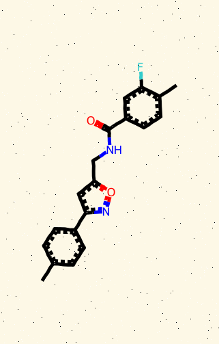 Cc1ccc(-c2cc(CNC(=O)c3ccc(C)c(F)c3)on2)cc1